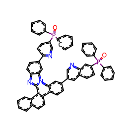 O=P(c1ccccc1)(c1ccccc1)c1ccc(-c2ccc3nc4c5c6ccccc6ccc5c5ccc(-c6cnc7cc(P(=O)(c8ccccc8)c8ccccc8)ccc7c6)cc5n4c3c2)nc1